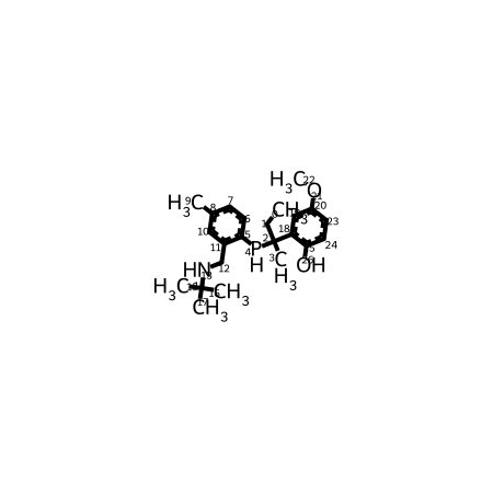 CCC(C)(Pc1ccc(C)cc1CNC(C)(C)C)c1cc(OC)ccc1O